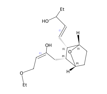 CCOC/C=C(/O)C[C@@H]1[C@H](/C=C/C(O)CC)[C@@H]2CC[C@H]1O2